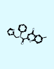 Cc1ccc2oc(C(=O)N(Cc3cccs3)c3ccccc3)cc(=O)c2c1